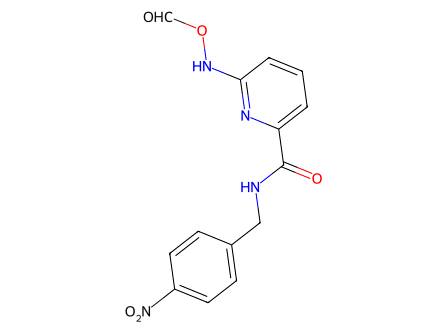 O=CONc1cccc(C(=O)NCc2ccc([N+](=O)[O-])cc2)n1